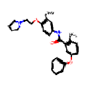 COc1cc(NC(=O)c2cc(Oc3ccccc3)ccc2[N+](=O)[O-])ccc1OCCN1CCCC1